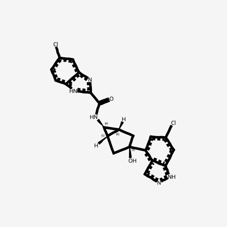 O=C(N[C@H]1[C@@H]2C[C@](O)(c3cc(Cl)cc4[nH]ncc34)C[C@@H]21)c1nc2cc(Cl)ccc2[nH]1